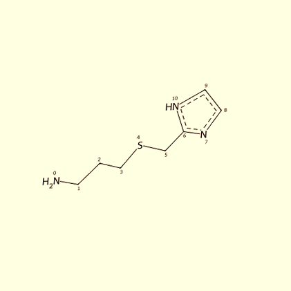 NCCCSCc1ncc[nH]1